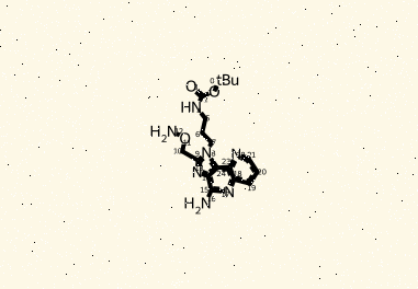 CC(C)(C)OC(=O)NCCCn1c(CON)nc2c(N)nc3cccnc3c21